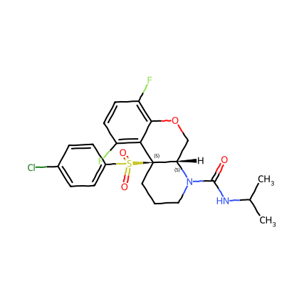 CC(C)NC(=O)N1CCC[C@]2(S(=O)(=O)c3ccc(Cl)cc3)c3c(F)ccc(F)c3OC[C@H]12